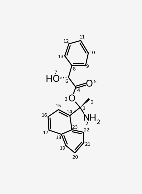 C[C@](N)(OC(=O)[C@H](O)c1ccccc1)c1cccc2ccccc12